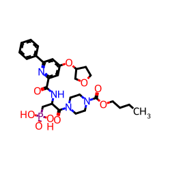 CCCCOC(=O)N1CCN(C(=O)C(CP(=O)(O)O)NC(=O)c2cc(OC3CCOC3)cc(-c3ccccc3)n2)CC1